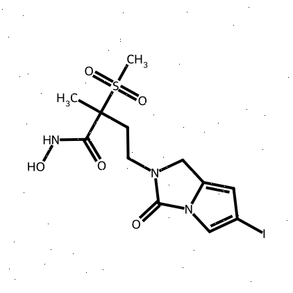 CC(CCN1Cc2cc(I)cn2C1=O)(C(=O)NO)S(C)(=O)=O